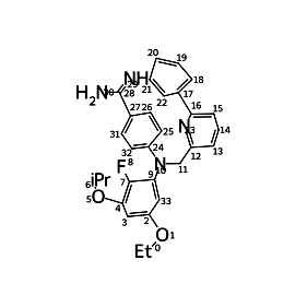 CCOc1cc(OC(C)C)c(F)c(N(Cc2cccc(-c3ccccc3)n2)c2ccc(C(=N)N)cc2)c1